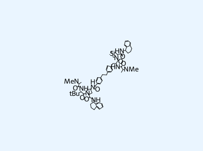 CNC(C)C(=O)NC(Cc1ccc(CCc2ccc(C(=O)N[C@H]3C[C@@H](C(=O)N[C@@H]4CCCc5ccccc54)N(C(=O)C(NC(=O)C(C)NC)C(C)(C)C)C3)cc2)cc1)C(=O)N1C[Si](C)(C)CC1C(=O)N[C@@H]1CCCc2ccccc21